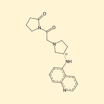 O=C1CCCN1C(=O)CN1CC[C@H](Nc2cccc3ncccc23)C1